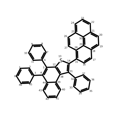 c1ccc(-c2c(-c3ccccc3)c3sc(-c4ccc5ccc6cccc7ccc4c5c67)c(-c4ccccc4)c3c3ccccc23)cc1